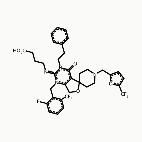 O=C(O)CCC/N=c1/n(Cc2c(F)cccc2C(F)(F)F)c2c(c(=O)n1CCc1ccccc1)C1(CCN(Cc3ccc(C(F)(F)F)o3)CC1)OC2